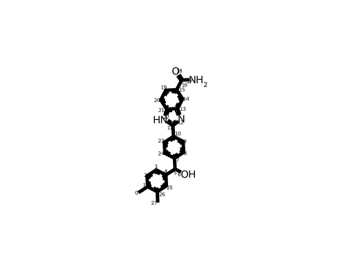 Cc1ccc(C(O)c2ccc(-c3nc4cc(C(N)=O)ccc4[nH]3)cc2)cc1C